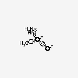 CN1CCN(c2cc(N3CCN(c4cccc(F)c4)CC3)c(F)cc2/C=N/NC(N)=S)CC1